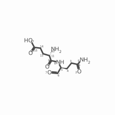 NC(=O)CC[C@@H]([C]=O)NC(=O)[C@@H](N)CCC(=O)O